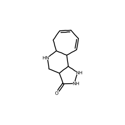 O=C1NNC2C1CNC1CC=CC=CC12